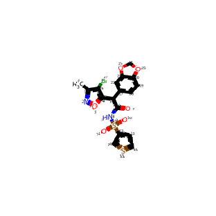 Cc1noc(C(C(=O)NS(=O)(=O)c2ccsc2)c2ccc3c(c2)OCO3)c1Br